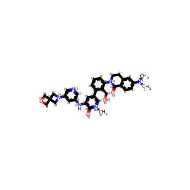 CN(C)c1ccc2c(c1)CCN(c1cccc(-c3cc(Nc4cncc(N5CC6(COC6)C5)c4)c(=O)n(C)c3)c1CO)C2=O